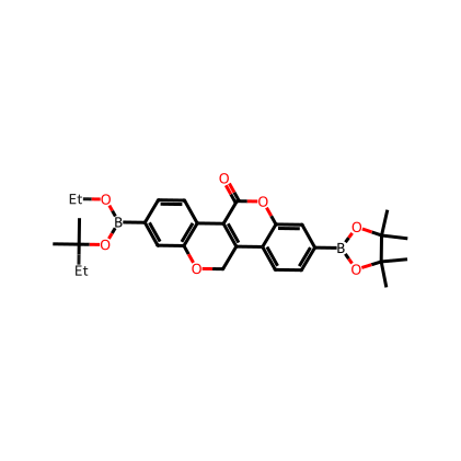 CCOB(OC(C)(C)CC)c1ccc2c(c1)OCc1c-2c(=O)oc2cc(B3OC(C)(C)C(C)(C)O3)ccc12